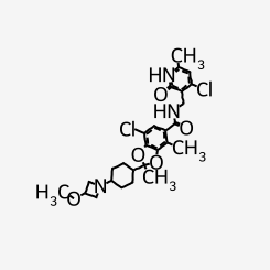 COC1CN(C2CCC(C3(C)Oc4c(Cl)cc(C(=O)NCc5c(Cl)cc(C)[nH]c5=O)c(C)c4O3)CC2)C1